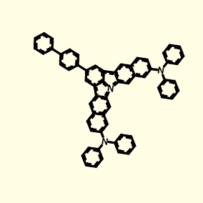 c1ccc(-c2ccc(-c3cc4c5cc6ccc(N(c7ccccc7)c7ccccc7)cc6cc5n5c6cc7cc(N(c8ccccc8)c8ccccc8)ccc7cc6c(c3)c45)cc2)cc1